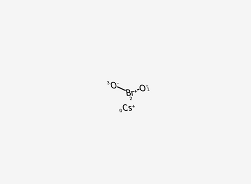 [Cs+].[O-][Br+][O-]